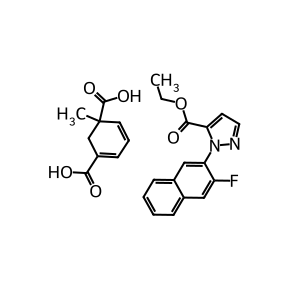 CC1(C(=O)O)C=CC=C(C(=O)O)C1.CCOC(=O)c1ccnn1-c1cc2ccccc2cc1F